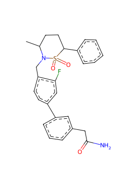 CC1CCC(c2ccccc2)S(=O)(=O)N1Cc1ccc(-c2cccc(CC(N)=O)c2)cc1F